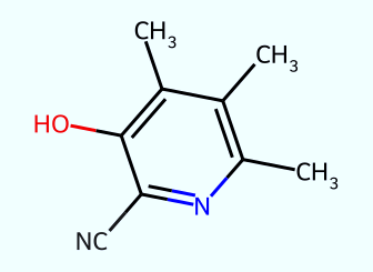 Cc1nc(C#N)c(O)c(C)c1C